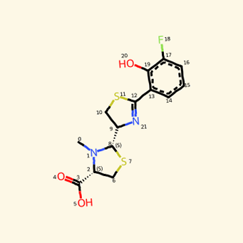 CN1[C@@H](C(=O)O)CS[C@H]1C1CSC(c2cccc(F)c2O)=N1